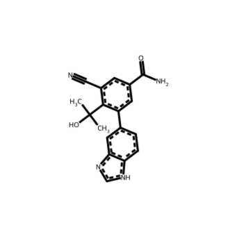 CC(C)(O)c1c(C#N)cc(C(N)=O)cc1-c1ccc2[nH]cnc2c1